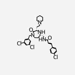 O=C(C=Cc1ccc(Cl)cc1)NC[C@@H]1CCN(Cc2cc(Cl)cc(Cl)c2)C(=O)[C@H](CCN2CCCCC2)N1